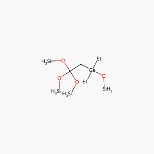 C[CH2][Ge]([CH2]C)([CH2]C(O[SiH3])(O[SiH3])O[SiH3])[O][SiH3]